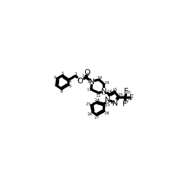 O=C(OCc1ccccc1)N1CCN(c2cc(C(F)(F)F)nn2-c2ccccc2)CC1